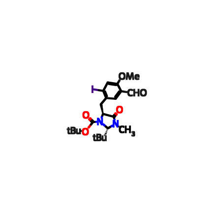 COc1cc(I)c(C[C@H]2C(=O)N(C)[C@H](C(C)(C)C)N2C(=O)OC(C)(C)C)cc1C=O